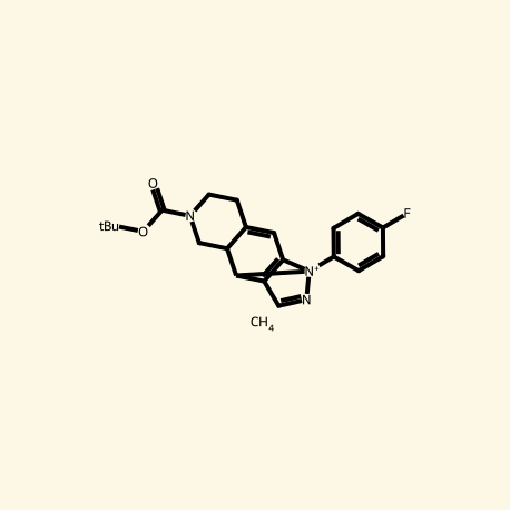 C.CC(C)(C)OC(=O)N1CCC2=CC3=C4C=N[N+]3(c3ccc(F)cc3)C4C2C1